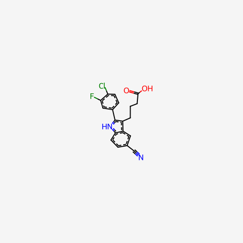 N#Cc1ccc2[nH]c(-c3ccc(Cl)c(F)c3)c(CCCC(=O)O)c2c1